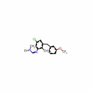 CCN(C)/C=N\c1cc(Cl)cc(Cc2cccc(OC(F)(F)F)c2)c1C